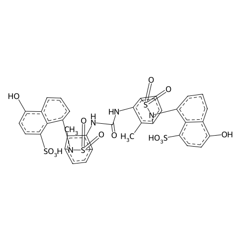 Cc1c2ccc(c1NC(=O)Nc1c3ccc(c1C)N(c1cccc4c(O)ccc(S(=O)(=O)O)c14)S3(=O)=O)S(=O)(=O)N2c1cccc2c(O)ccc(S(=O)(=O)O)c12